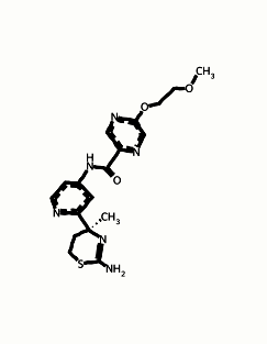 COCCOc1cnc(C(=O)Nc2ccnc([C@]3(C)CCSC(N)=N3)c2)cn1